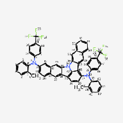 Cc1ccccc1N(c1ccc(C(F)(F)F)cc1)c1ccc2cc3c4ccc(N(c5ccc(C(F)(F)F)cc5)c5ccccc5C)c5c6cc7ccccc7cc6n(c3cc2c1)c45